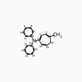 CC1=CC=C(N(c2ccccc2)c2ccccc2)C=CC1